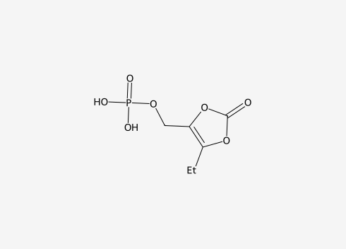 CCc1oc(=O)oc1COP(=O)(O)O